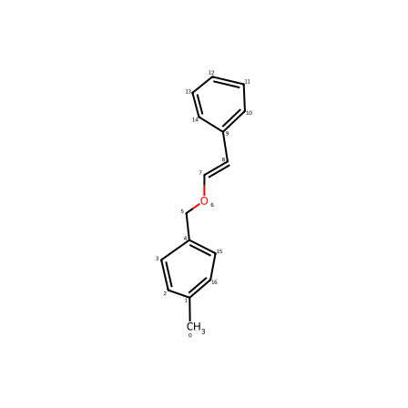 Cc1ccc(COC=Cc2ccccc2)cc1